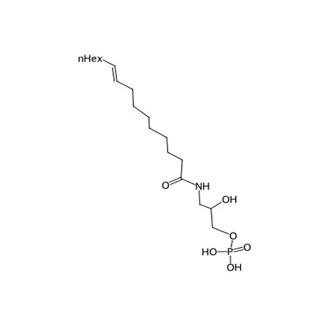 CCCCCCC=CCCCCCCCC(=O)NCC(O)COP(=O)(O)O